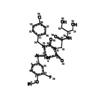 CC(C)Oc1ccc(/N=c2\[nH]c(=O)n(CC(=O)NC(CO)CO)c(=O)n2Cc2ccc(Cl)cc2)cc1F